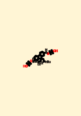 CCCCC(CC)CC1(CC(CC)CCCC)c2cc(BOC(C)(C)C(C)(C)O)ccc2-c2ccc(BOC(C)(C)C(C)(C)O)cc21